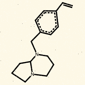 C=Cc1ccc(CN2CCCN3CCCC32)cc1